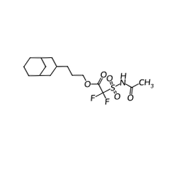 CC(=O)NS(=O)(=O)C(F)(F)C(=O)OCCCC1CC2CCCC(C1)C2